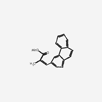 COC(=O)C(C)=Cc1ccc2ccc3ccccc3c2c1